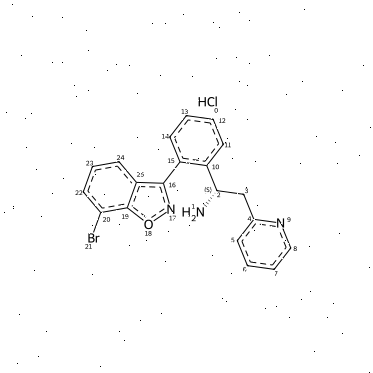 Cl.N[C@@H](Cc1ccccn1)c1ccccc1-c1noc2c(Br)cccc12